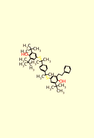 CC(C)(C)c1cc(SC(C)(C)c2ccc(C(C)(C)Sc3cc(C(C)(C)C)c(O)c(C(C)(C)C)c3)cc2)cc(CCc2ccccc2)c1O